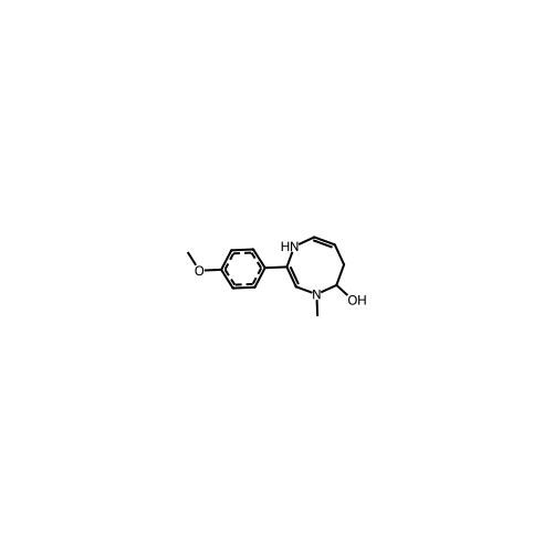 COc1ccc(/C2=C/N(C)C(O)C/C=C\N2)cc1